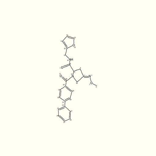 CON=C1CC(C(=O)NCc2ccco2)N(C(=O)c2ccc(-c3ccccc3)cc2)C1